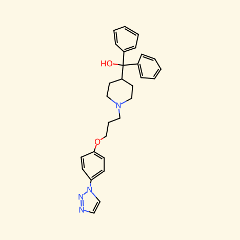 OC(c1ccccc1)(c1ccccc1)C1CCN(CCCOc2ccc(-n3ccnn3)cc2)CC1